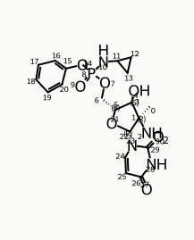 C[C@@]1(N)[C@H](O)[C@@H](COP(=O)(NC2CC2)Oc2ccccc2)O[C@H]1n1ccc(=O)[nH]c1=O